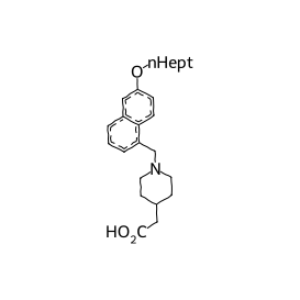 CCCCCCCOc1ccc2c(CN3CCC(CC(=O)O)CC3)cccc2c1